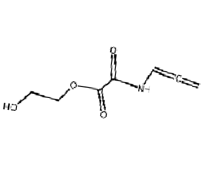 C=C=CNC(=O)C(=O)OCCO